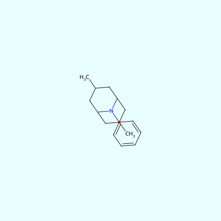 CC1CC2CC(C)CC(C1)N2c1ccccc1